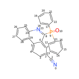 N#Cc1ccc2c(c1)c(P(=O)(c1ccccc1)c1ccccc1)nc1ccccc12